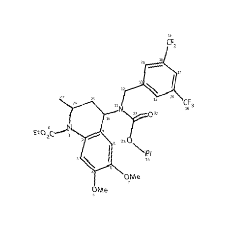 CCOC(=O)N1c2cc(OC)c(OC)cc2C(N(Cc2cc(C(F)(F)F)cc(C(F)(F)F)c2)C(=O)OC(C)C)CC1C